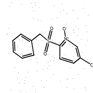 O=S(=O)(Cc1ccccc1)c1ccc(Cl)c[n+]1[O-]